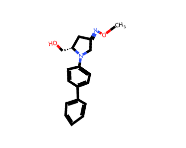 CO/N=C1/C[C@@H](CO)N(c2ccc(-c3ccccc3)cc2)C1